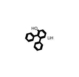 Oc1cccc(-c2ccccc2)c1-c1ccccc1.[LiH]